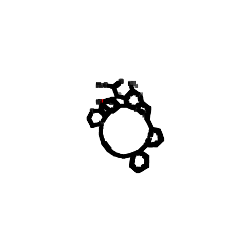 COC(=O)[C@@H](OC(C)(C)C)c1c(C)nc2cc3nn2c1-c1ccc2c(c1Cl)N(CC=CCCc1ccccc1-c1cccc-3c1)CCO2